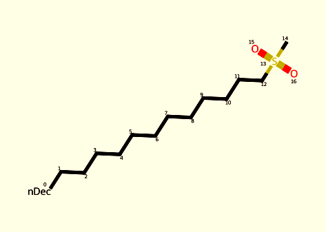 CCCCCCCCCCCCCCCCCCCCCCS(C)(=O)=O